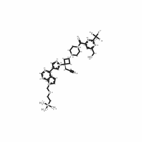 C[Si](C)(C)CCOCn1ccc2c(-c3cnn([C@]4(CC#N)C[C@H](N5CCN(C(=O)c6cc(CO)nc(C(F)(F)F)n6)CC5)C4)c3)ncnc21